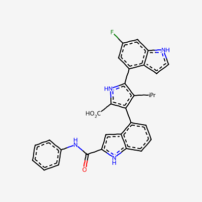 CC(C)c1c(-c2cc(F)cc3[nH]ccc23)[nH]c(C(=O)O)c1-c1cccc2[nH]c(C(=O)Nc3ccccc3)cc12